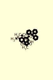 C=C(C)[C@@H]1C(=NN)C[C@@H](C)[C@@]2(O)[C@H]1C=C(COC(c1ccccc1)(c1ccccc1)c1ccccc1)C[C@]1(O)C(=O)C(C)=C[C@@H]21